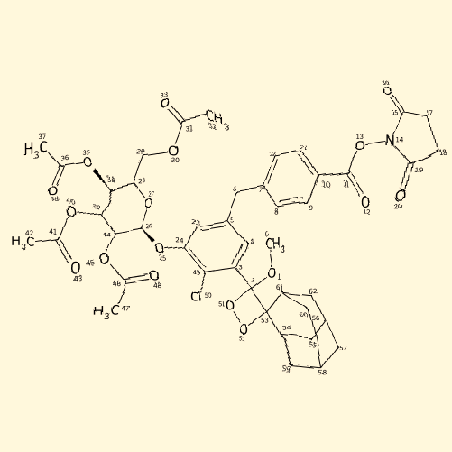 COC1(c2cc(Cc3ccc(C(=O)ON4C(=O)CCC4=O)cc3)cc(O[C@@H]3OC(COC(C)=O)[C@H](OC(C)=O)C(OC(C)=O)C3OC(C)=O)c2Cl)OOC12C1CC3CC(C1)CC2C3